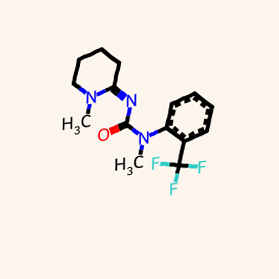 CN1CCCC/C1=N/C(=O)N(C)c1ccccc1C(F)(F)F